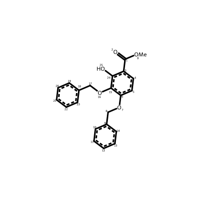 COC(=O)c1ccc(OCc2ccccc2)c(OCc2ccccc2)c1O